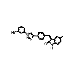 N#Cc1cccc(-n2cc(-c3ccc(C=C4C(=O)Nc5ccc(F)cc54)cc3)nn2)c1